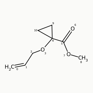 C=CCOC1(C(=O)OC)CC1